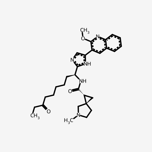 CCC(=O)CCCCC[C@H](NC(=O)[C@@H]1C[C@]12CCN(C)C2)c1ncc(-c2cc3ccccc3nc2OC)[nH]1